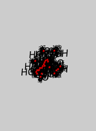 O=C(O)C1C2C=CC(C2)C1C(=O)NCCC[Si]12O[Si]3(CCCNC(=O)C4C5C=CC(C5)C4C(=O)O)O[Si]4(CCCNC(=O)C5C6C=CC(C6)C5C(=O)O)O[Si](CCCNC(=O)C5C6C=CC(C6)C5C(=O)O)(O1)O[Si]1(CCCNC(=O)C5C6C=CC(C6)C5C(=O)O)O[Si](CCCNC(=O)C5C6C=CC(C6)C5C(=O)O)(O2)O[Si](CCCNC(=O)C2C5C=CC(C5)C2C(=O)O)(O3)O[Si](CCCNC(=O)C2C3C=CC(C3)C2C(=O)O)(O4)O1